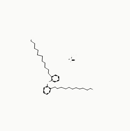 CCCCCCCCCCCCc1ccccc1Oc1ccccc1CCCCCCCCCCCC.O=S(=O)(O)O